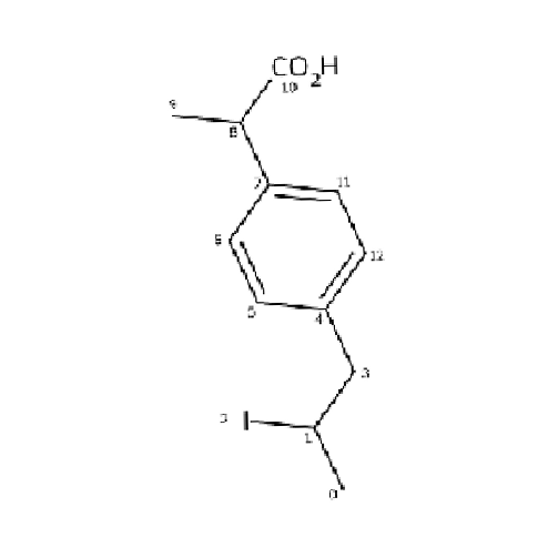 CC(I)Cc1ccc(C(C)C(=O)O)cc1